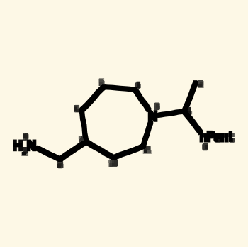 CCCCCC(C)N1CCCC(CN)CC1